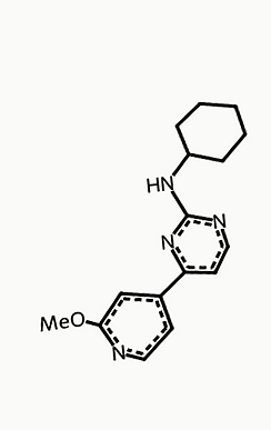 COc1cc(-c2ccnc(NC3CCCCC3)n2)ccn1